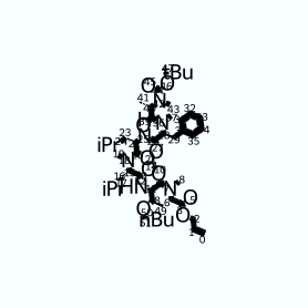 C=CCOC(=O)CN(C)C(=O)[C@@H](NC(=O)[C@H](CC(C)C)N(C)C(=O)[C@H](CC(C)C)NC(=O)[C@H](Cc1ccccc1)N(C)C(=O)[C@H](C)N(C)C(=O)OC(C)(C)C)[C@@H](C)OCCCC